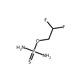 NP(N)(=S)OCC(F)F